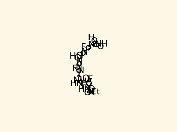 C=Nc1[nH]cc(C(=O)c2c(F)ccc(NS(=O)(=O)N(C)CC)c2F)c1/C=C(\C)c1cnc(N2CCN(C(=O)CC3(O)CCN(c4ccc(NC5CCC(=O)NC5=O)cc4F)CC3)CC2)c(F)c1